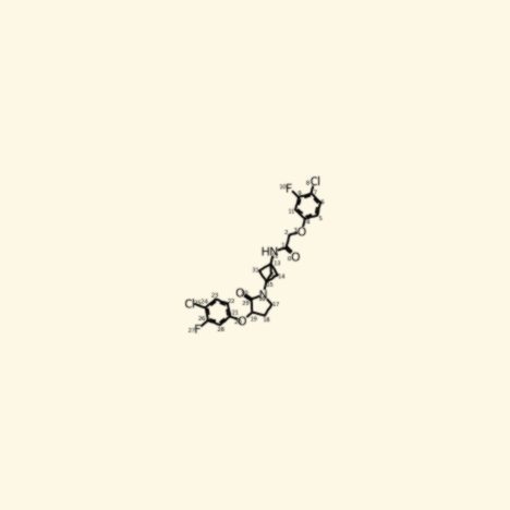 O=C(COc1ccc(Cl)c(F)c1)NC12CC(N3CCC(Oc4ccc(Cl)c(F)c4)C3=O)(C1)C2